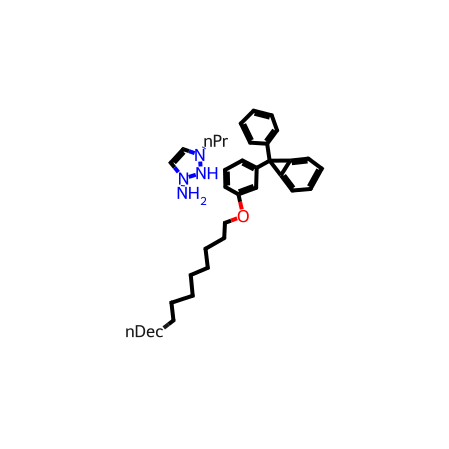 CCCCCCCCCCCCCCCCCCOc1cccc(C2(c3ccccc3)c3ccccc32)c1.CCCN1C=CN(N)N1